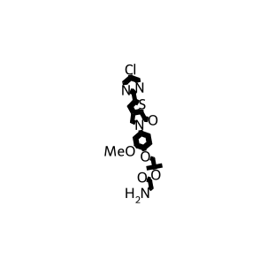 COc1cc(N2Cc3cc(-c4ncc(Cl)cn4)sc3C2=O)ccc1OCC(C)(C)OC(=O)CN